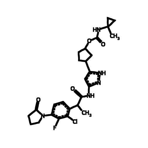 CC(C(=O)Nc1cc(C2CCC(OC(=O)NC3(C)CC3)C2)[nH]n1)c1ccc(N2CCCC2=O)c(F)c1Cl